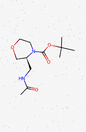 CC(=O)NC[C@H]1COCCN1C(=O)OC(C)(C)C